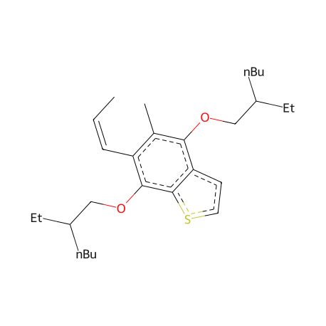 C/C=C\c1c(C)c(OCC(CC)CCCC)c2ccsc2c1OCC(CC)CCCC